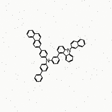 c1ccc(-c2ccc(N(c3ccc(-c4ccc5c(ccc6ccccc65)c4)cc3)c3cccc(-c4cccc5c4c4ccccc4n5-c4ccc5ccccc5c4)c3)cc2)cc1